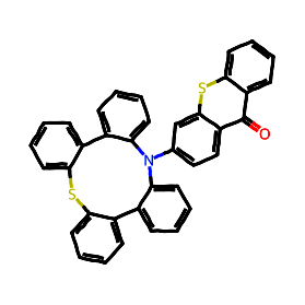 O=c1c2ccccc2sc2cc(N3c4ccccc4-c4ccccc4Sc4ccccc4-c4ccccc43)ccc12